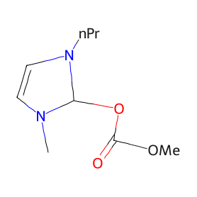 CCCN1C=CN(C)C1OC(=O)OC